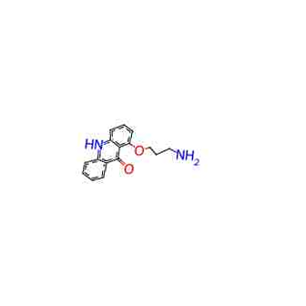 NCCCOc1cccc2[nH]c3ccccc3c(=O)c12